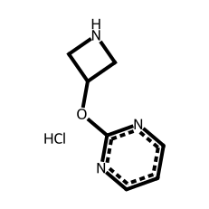 Cl.c1cnc(OC2CNC2)nc1